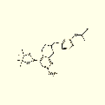 CCOC(=O)c1cc(B2OC(C)(C)C(C)(C)O2)c2c(n1)CN(Cc1ccnc(OC(F)F)c1)CC2